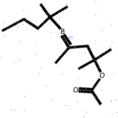 CCCC(C)(C)/B=C(\C)CC(C)(C)OC(C)=O